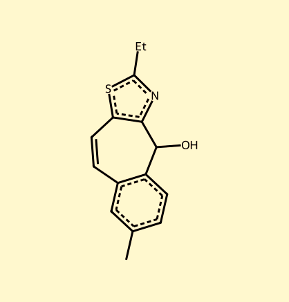 CCc1nc2c(s1)C=Cc1cc(C)ccc1C2O